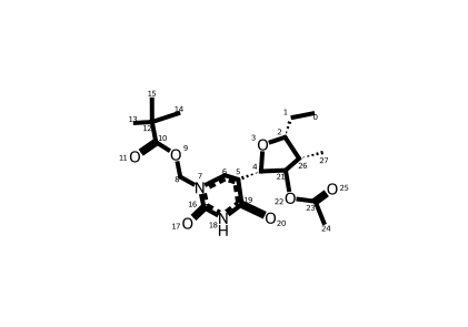 CC[C@H]1O[C@@H](c2cn(COC(=O)C(C)(C)C)c(=O)[nH]c2=O)C(OC(C)=O)[C@H]1C